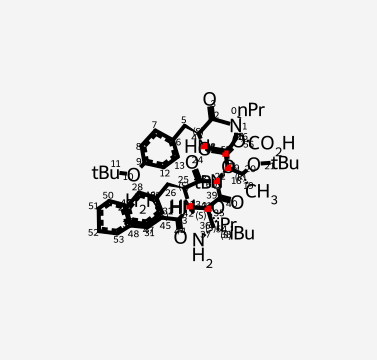 CCCN(C(=O)[C@H](Cc1ccc(OC(C)(C)C)cc1)NC(=O)[C@H]([C@@H](C)OC(C)(C)C)N(C(=O)[C@H](Cc1ccccc1)NC(=O)[C@@H](N)[C@@H](C)CC)C(=O)[C@@H](NC(=O)[C@@H](N)Cc1ccccc1)C(C)C)[C@H](C(=O)O)C(=O)OC(C)(C)C